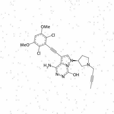 CC#CCN1CC[C@H](n2cc(C#Cc3c(Cl)c(OC)cc(OC)c3Cl)c3c(N)nnc(O)[n+]32)C1